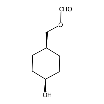 O=COC[C@H]1CC[C@@H](O)CC1